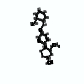 CC1CN(C#N)CCN1c1ncc(OCc2ccncc2Br)cn1